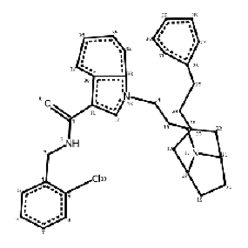 O=C(NCc1ccccc1Cl)c1cn(CCCN2C3CCC2CC(CCc2ccccc2)C3)c2ccccc12